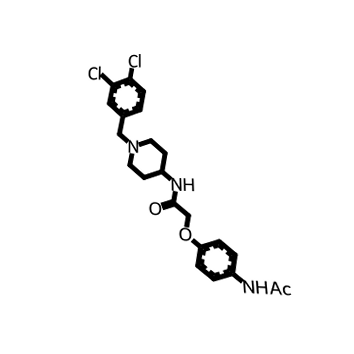 CC(=O)Nc1ccc(OCC(=O)NC2CCN(Cc3ccc(Cl)c(Cl)c3)CC2)cc1